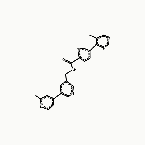 Cc1cc(-c2cncc(CNC(=O)c3ccc(-c4ncccc4C)cn3)c2)ccn1